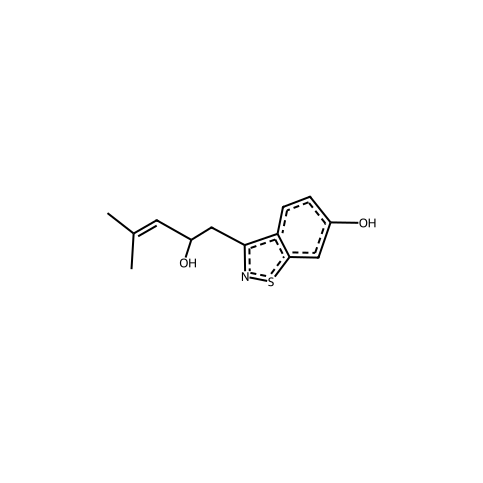 CC(C)=CC(O)Cc1nsc2cc(O)ccc12